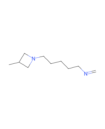 C=NCCCCCN1CC(C)C1